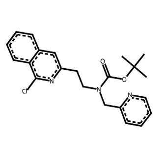 CC(C)(C)OC(=O)N(CCc1cc2ccccc2c(Cl)n1)Cc1ccccn1